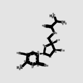 CC(C)C(=O)OC[C@@]1(F)O[C@@H](n2cc(F)c(N)nc2=O)C[C@@H]1F